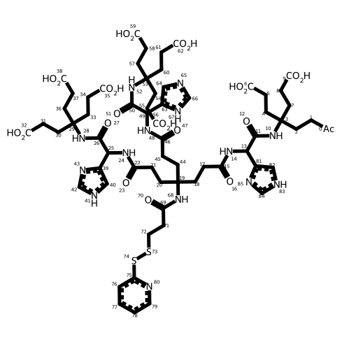 CC(=O)CCC(CCC(=O)O)(CCC(=O)O)NC(=O)C(NC(=O)CCC(CCC(=O)NC(C(=O)NC(CCC(=O)O)(CCC(=O)O)CCC(=O)O)c1c[nH]cn1)(CCC(=O)NC(C(=O)NC(CCC(=O)O)(CCC(=O)O)CCC(=O)O)c1cnc[nH]1)NC(=O)CCSSc1ccccn1)c1c[nH]cn1